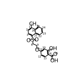 Cc1ccc(S(=O)(=O)CCOc2ccc(C(=O)O)c(O)c2)c2ccccc12